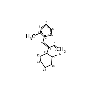 C=C/C(=C\c1ccccc1C)C1CCCCC1I